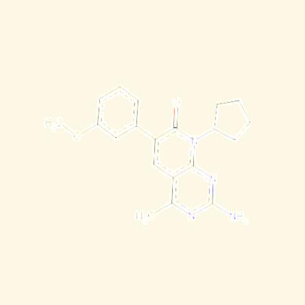 COc1cccc(-c2cc3c(C)nc(N)nc3n(C3CCCC3)c2=O)c1